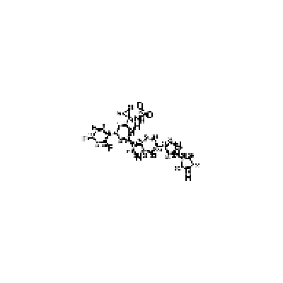 O=[SH](=O)NC1(c2cc(-c3ccc(F)cc3F)cc(-n3cnc4cc(-c5cnn(C6CCNC6)c5)ccc43)n2)CC1